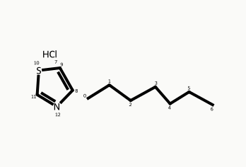 CCCCCCC.Cl.c1cscn1